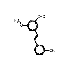 O=Cc1cc(/C=C/c2cccc(C(F)(F)F)c2)cc(OC(F)(F)F)c1